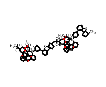 CC1CC=Cc2c1sc1cccc(-c3ccc(N(c4ccccc4-c4cccc5cccc(-c6cc(C(C)(C)C)cc(C(C)(C)Cc7ccc8c(c7)sc7c(-c9cccc(N(c%10ccccc%10-c%10cccc%11cccc(-c%12cc(C(C)(C)C)cc(C(C)(C)C)c%12)c%10%11)c%10cccc%11sc%12ccccc%12c%10%11)c9)cccc78)c6)c45)c4cccc5sc6ccccc6c45)cc3)c21